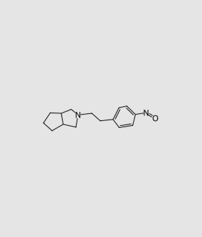 O=Nc1ccc(CCN2CC3CCCC3C2)cc1